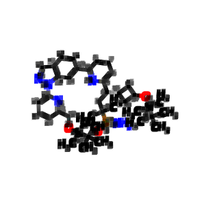 CC(C)(CC(c1cccc(-c2ccc3cnn(-c4cccc(CO[Si](C)(C)C(C)(C)C)n4)c3c2)n1)[C@H]1C[C@H](O[Si](C)(C)C(C)(C)C)C1)[S@+](N)[O-]